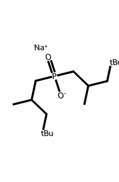 CC(CC(C)(C)C)CP(=O)([O-])CC(C)CC(C)(C)C.[Na+]